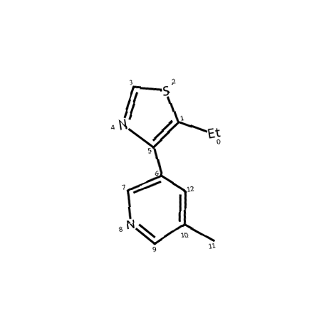 CCc1scnc1-c1cncc(C)c1